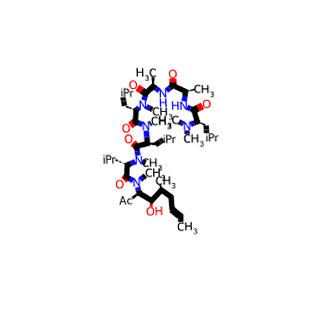 C/C=C/C[C@@H](C)[C@@H](O)[C@@H](C(C)=O)N(C)C(=O)[C@H](C(C)C)N(C)C(=O)[C@H](CC(C)C)N(C)C(=O)[C@H](CC(C)C)N(C)C(=O)[C@@H](C)NC(=O)[C@H](C)NC(=O)[C@H](CC(C)C)N(C)C